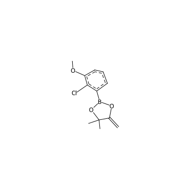 C=C1OB(c2cccc(OC)c2Cl)OC1(C)C